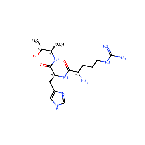 C[C@@H](O)[C@H](NC(=O)[C@H](Cc1c[nH]cn1)NC(=O)[C@@H](N)CCCNC(=N)N)C(=O)O